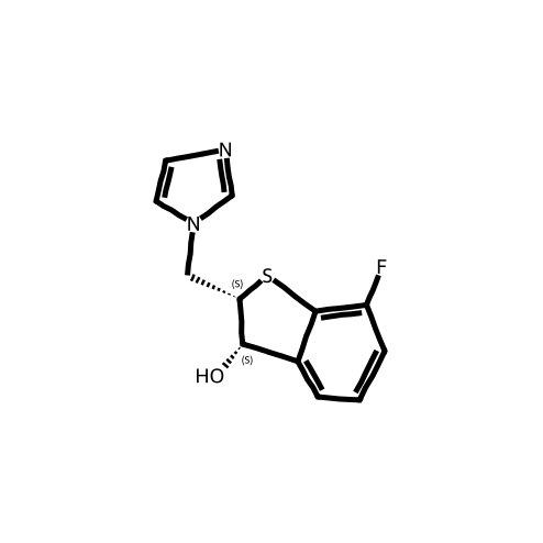 O[C@H]1c2cccc(F)c2S[C@H]1Cn1ccnc1